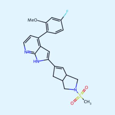 COc1cc(F)ccc1-c1ccnc2[nH]c(C3=CC4CN(S(C)(=O)=O)CC4C3)cc12